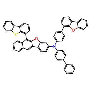 c1ccc(-c2ccc(N(c3ccc(-c4cccc5c4oc4ccccc45)cc3)c3ccc4c(c3)oc3c(-c5cccc6c5sc5ccccc56)c5ccccc5cc34)cc2)cc1